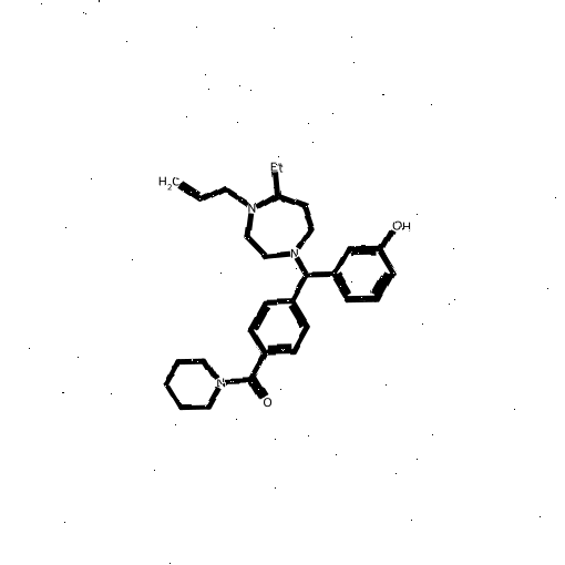 C=CCN1CCN(C(c2ccc(C(=O)N3CCCCC3)cc2)c2cccc(O)c2)CCC1CC